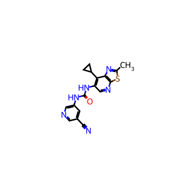 Cc1nc2c(C3CC3)c(NC(=O)Nc3cncc(C#N)c3)cnc2s1